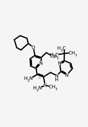 CCc1nc(/C(N)=C(\CNc2nccc(C(C)(C)C)n2)N(C)N)ccc1OC1CCCCC1